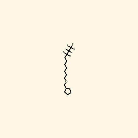 FC(F)(F)C(F)(F)C(F)(F)CCCCCCCOCC1CCCO1